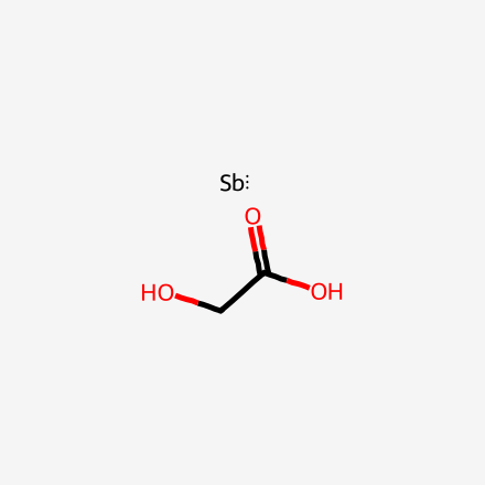 O=C(O)CO.[Sb]